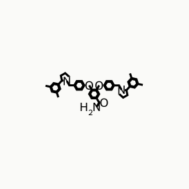 Cc1cc(C)cc(C2CCCN2Cc2ccc(Oc3ccc(C(N)=O)cc3Oc3ccc(CN4CCCC4c4cc(C)cc(C)c4)cc3)cc2)c1